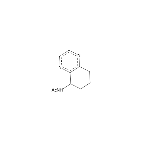 CC(=O)NC1CCCc2nccnc21